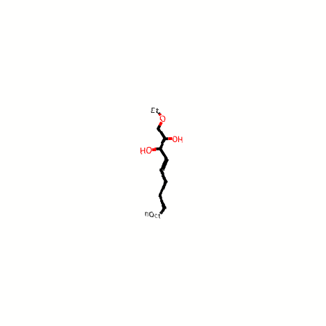 CCCCCCCCCCC/C=C/C(O)C(O)COCC